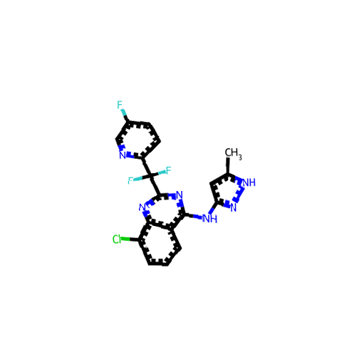 Cc1cc(Nc2nc(C(F)(F)c3ccc(F)cn3)nc3c(Cl)cccc23)n[nH]1